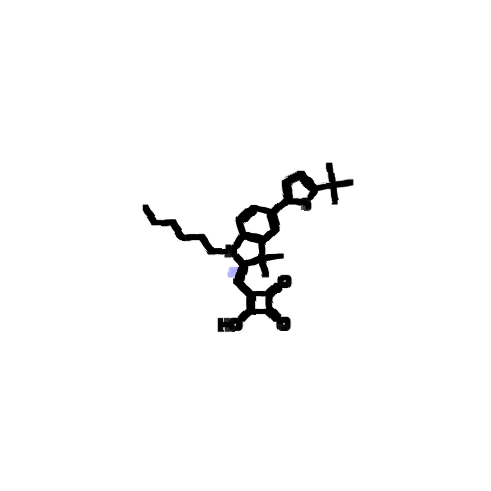 CCCCCCN1/C(=C/c2c(O)c(=O)c2=O)C(C)(C)c2cc(-c3ccc(C(C)(C)C)s3)ccc21